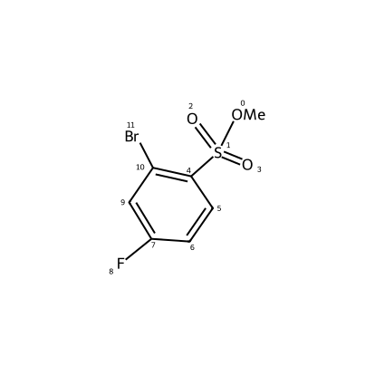 [CH2]OS(=O)(=O)c1ccc(F)cc1Br